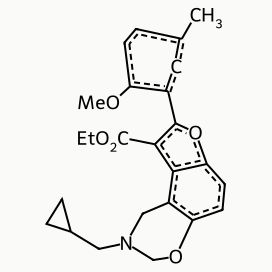 CCOC(=O)c1c(-c2cc(C)ccc2OC)oc2ccc3c(c12)CN(CC1CC1)CO3